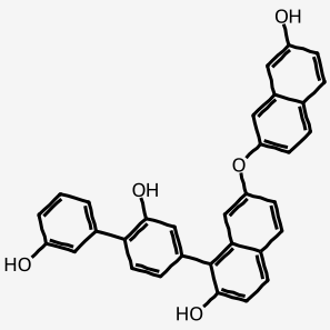 Oc1cccc(-c2ccc(-c3c(O)ccc4ccc(Oc5ccc6ccc(O)cc6c5)cc34)cc2O)c1